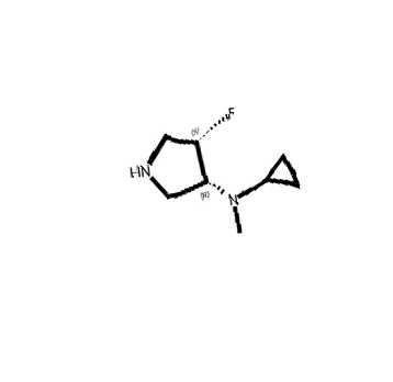 CN(C1CC1)[C@@H]1CNC[C@@H]1F